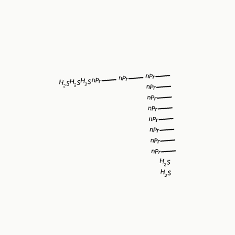 CCCC.CCCC.CCCC.CCCC.CCCC.CCCC.CCCC.CCCC.CCCC.CCCC.S.S.S.S.S